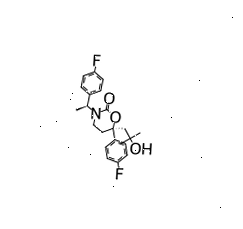 C[C@@H](c1ccc(F)cc1)N1CC[C@](CC(C)(C)O)(c2ccc(F)cc2)OC1=O